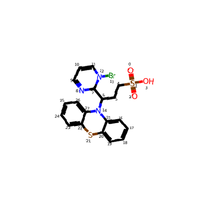 O=S(=O)(O)CCC(C1N=CC=CN1Br)N1c2ccccc2Sc2ccccc21